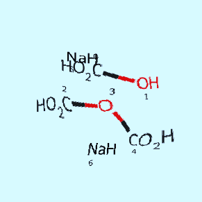 O=C(O)O.O=C(O)OC(=O)O.[NaH].[NaH]